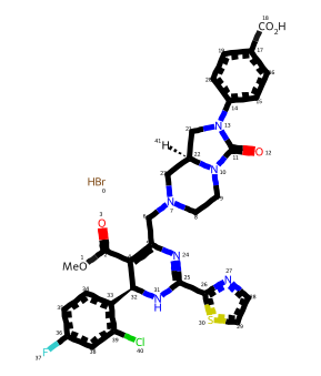 Br.COC(=O)C1=C(CN2CCN3C(=O)N(c4ccc(C(=O)O)cc4)C[C@@H]3C2)N=C(c2nccs2)N[C@H]1c1ccc(F)cc1Cl